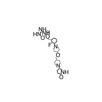 N=C(N)NC(=O)OCc1cccc(N2CCC(OCC3CCN(c4ccc(=O)[nH]c4)CC3)CC2)c1F